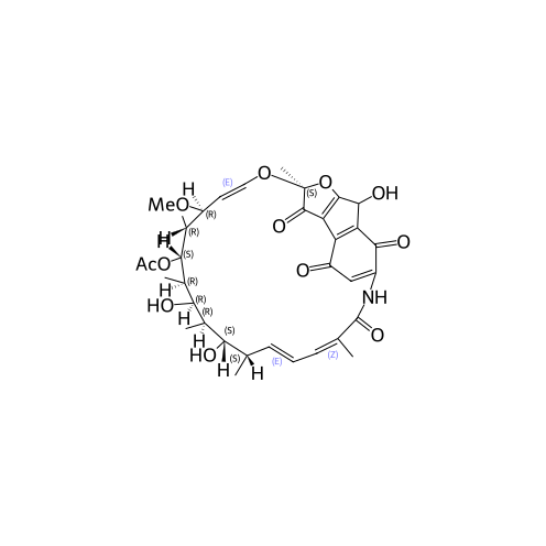 CO[C@H]1/C=C/O[C@@]2(C)OC3=C(C2=O)C2=C(C(=O)C(=CC2=O)NC(=O)/C(C)=C\C=C\[C@H](C)[C@H](O)[C@@H](C)[C@@H](O)[C@@H](C)[C@H](OC(C)=O)[C@@H]1C)C3O